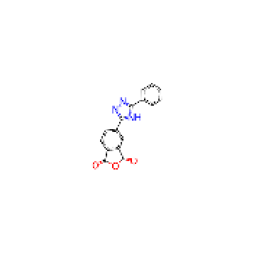 O=C1OC(=O)c2cc(-c3nnc(-c4ccccc4)[nH]3)ccc21